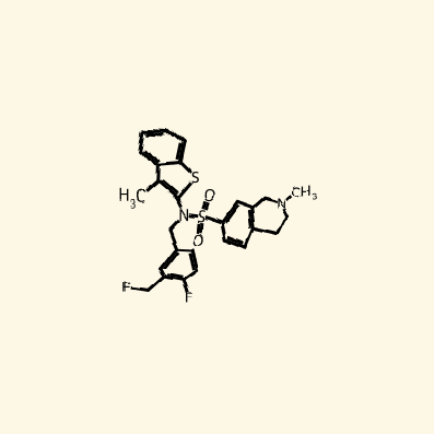 Cc1c(N(Cc2ccc(F)c(CF)c2)S(=O)(=O)c2ccc3c(c2)CN(C)CC3)sc2ccccc12